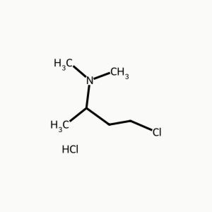 CC(CCCl)N(C)C.Cl